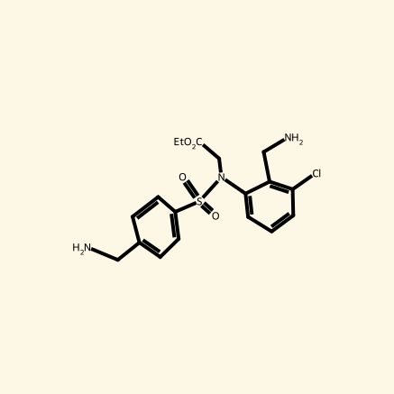 CCOC(=O)CN(c1cccc(Cl)c1CN)S(=O)(=O)c1ccc(CN)cc1